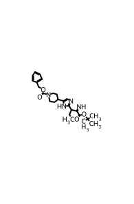 CCC(C(=N)C(=O)OC(C)(C)C)c1ncc(C2CCN(C(=O)OCc3ccccc3)CC2)[nH]1